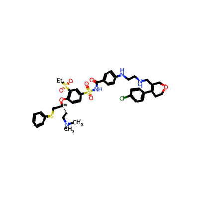 CCS(=O)(=O)c1cc(S(=O)(=O)NC(=O)c2ccc(NCCNCC3=C(c4ccc(Cl)cc4)CCOC3)cc2)ccc1O[C@H](CCN(C)C)CSc1ccccc1